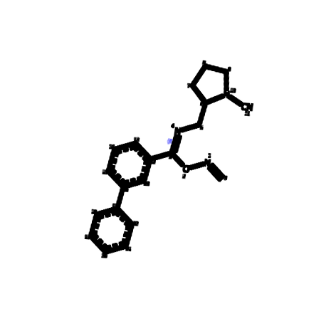 C=NO/C(=N\CC1CCCN1C#N)c1cccc(-c2ccccc2)c1